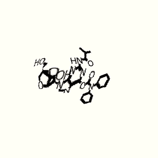 CC(C)C(=O)Nc1nc(OC(=O)N(c2ccccc2)c2ccccc2)c2ncn([C@@H]3O[C@@]4(CO)COC3C4O)c2n1